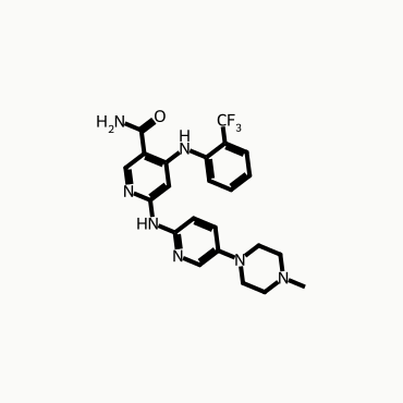 CN1CCN(c2ccc(Nc3cc(Nc4ccccc4C(F)(F)F)c(C(N)=O)cn3)nc2)CC1